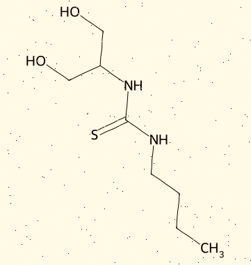 CCCCNC(=S)NC(CO)CO